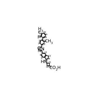 Cc1cc(-c2nc(-c3ccc4c(c3)CCC4NC3CC(C(=O)O)C3)no2)ccc1-c1cccc(C)c1F